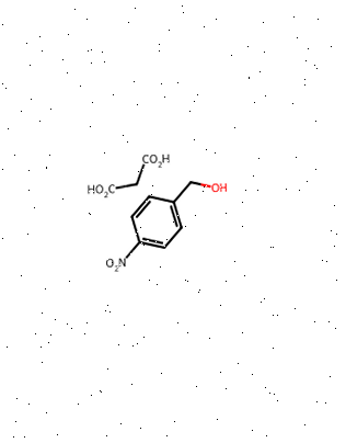 O=C(O)CC(=O)O.O=[N+]([O-])c1ccc(CO)cc1